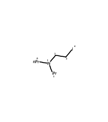 CCCN(CCI)C(C)C